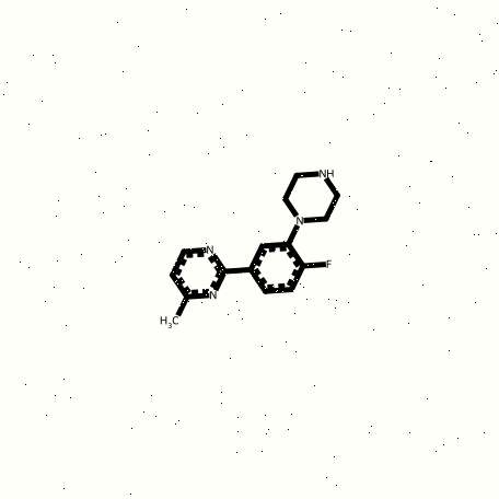 Cc1ccnc(-c2ccc(F)c(N3CCNCC3)c2)n1